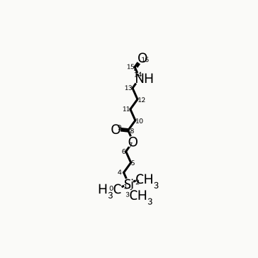 C[Si](C)(C)CCCOC(=O)CCCCN[C]=O